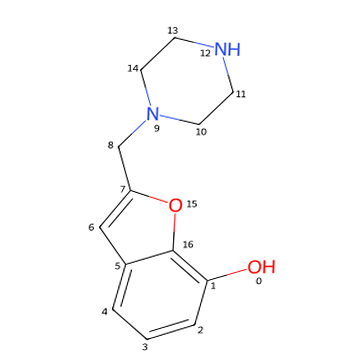 Oc1cccc2cc(CN3CCNCC3)oc12